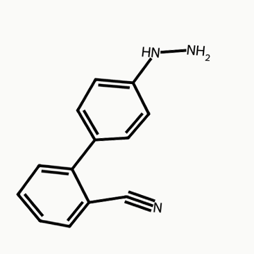 N#Cc1ccccc1-c1ccc(NN)cc1